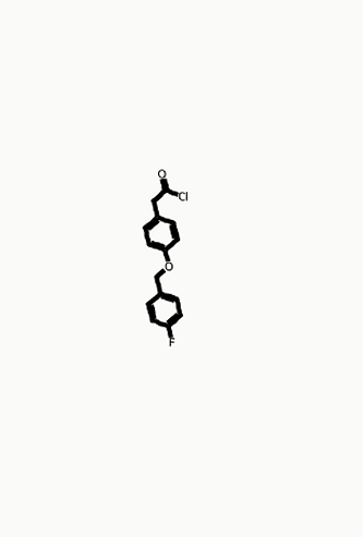 O=C(Cl)Cc1ccc(OCc2ccc(F)cc2)cc1